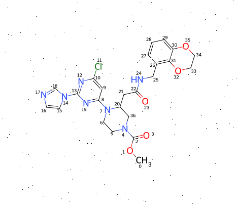 COC(=O)N1CCN(c2cc(Cl)nc(-n3ccnc3)n2)C(CC(=O)NCc2cccc3c2OCCO3)C1